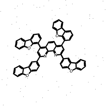 c1ccc2c(c1)oc1ccc(-c3cc(-c4cccc5c4oc4ccccc45)c4ccc5c(-c6cccc7c6oc6ccccc67)cc(-c6ccc7oc8ccccc8c7c6)nc5c4n3)cc12